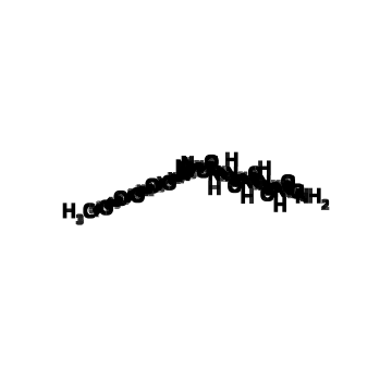 CCCOCCOCCOCCOCCOCCn1cc(COC(=O)NCCNC(=O)CNC(=O)CNC(=O)CNC(=O)CON)nn1